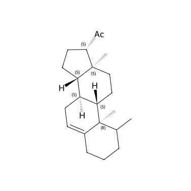 CC(=O)[C@H]1CC[C@H]2[C@@H]3CC=C4CCCC(C)[C@]4(C)[C@H]3CC[C@]12C